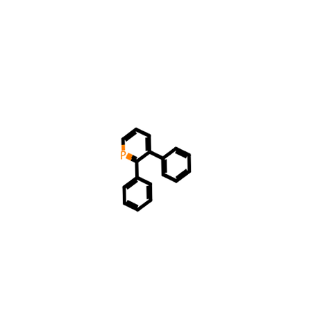 c1ccc(-c2cccpc2-c2ccccc2)cc1